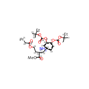 CCC(C)(C)OC(=O)Oc1ccc(C[C@](N)(CCOC(=O)CC(C)C)C(=O)OC)cc1OC(=O)OC(C)(C)CC